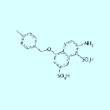 Cc1ccc(COc2cc(S(=O)(=O)O)cc3c(S(=O)(=O)O)c(N)ccc23)cc1